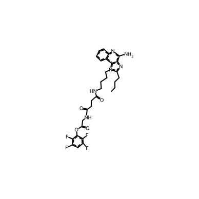 CCCCc1nc2c(N)nc3ccccc3c2n1CCCCNC(=O)CCC(=O)NCC(=O)Oc1c(F)c(F)cc(F)c1F